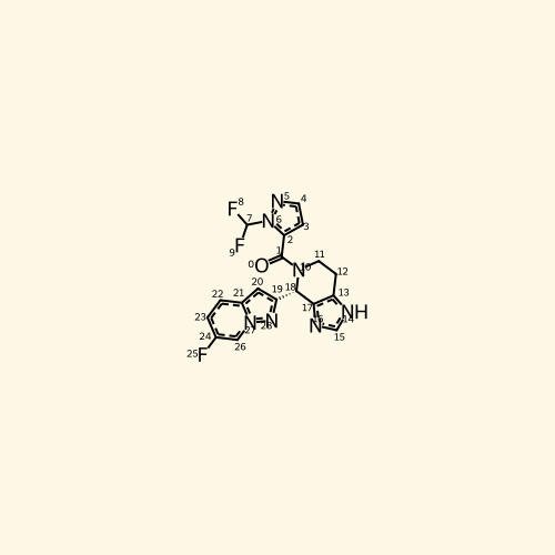 O=C(c1ccnn1C(F)F)N1CCc2[nH]cnc2[C@@H]1c1cc2ccc(F)cn2n1